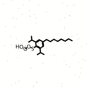 CCCCCCCCc1cc(C(C)C)c(SOOO)c(C(C)C)c1